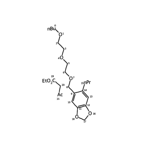 CCCCOCCOCCOCc1cc2c(cc1CCC)OCO2.CCOC(=O)CC(C)=O